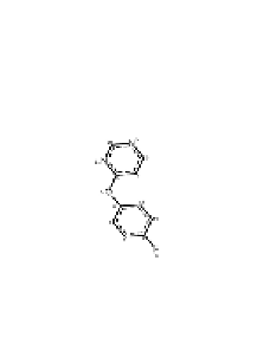 Fc1ccc(Oc2ccncn2)cc1